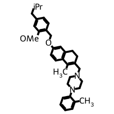 COc1cc(CC(C)C)ccc1COc1ccc2c(c1)CCC(CN1CCN(c3ccccc3C)CC1)=C2C